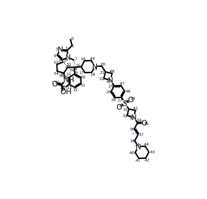 CCc1nccn1C[C@@](c1cccc(F)c1)(C1CCN(CC2CN(c3ccc(S(=O)(=O)C4CN(C(=O)/C=C/CN5CCCCC5)C4)cc3)C2)CC1)[C@H]1CCC[C@@H]1NC(=O)O